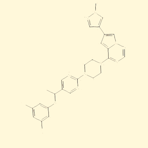 CC(Nc1cc(F)cc(F)c1)c1cnc(N2CCN(c3ncnn4cc(-c5cnn(C)c5)cc34)CC2)nc1